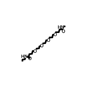 CCCNC(=O)CCCOCCCOCCCOCCCOCCCC(=O)NC